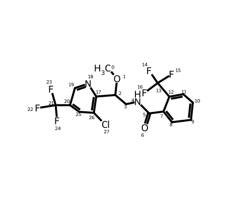 COC(CNC(=O)c1ccccc1C(F)(F)F)c1ncc(C(F)(F)F)cc1Cl